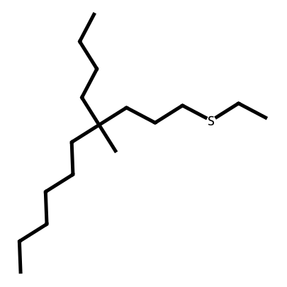 CCCCCCC(C)(CCCC)CCCSCC